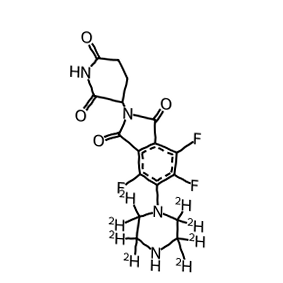 [2H]C1([2H])NC([2H])([2H])C([2H])([2H])N(c2c(F)c(F)c3c(c2F)C(=O)N(C2CCC(=O)NC2=O)C3=O)C1([2H])[2H]